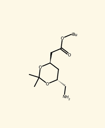 CCC(C)OC(=O)C[C@H]1C[C@H](CN)OC(C)(C)O1